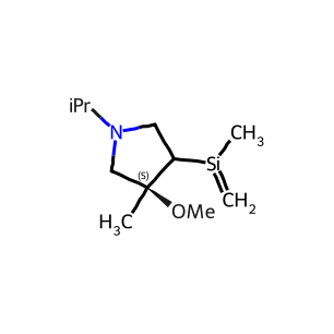 C=[Si](C)C1CN(C(C)C)C[C@]1(C)OC